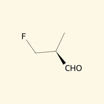 C[C@@H](C=O)CF